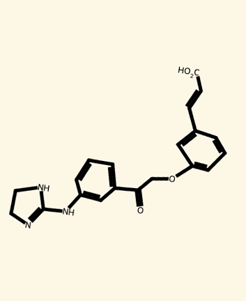 O=C(O)C=Cc1cccc(OCC(=O)c2cccc(NC3=NCCN3)c2)c1